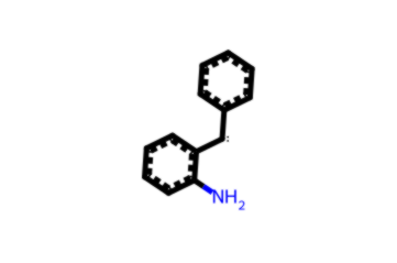 Nc1ccccc1[C]c1ccccc1